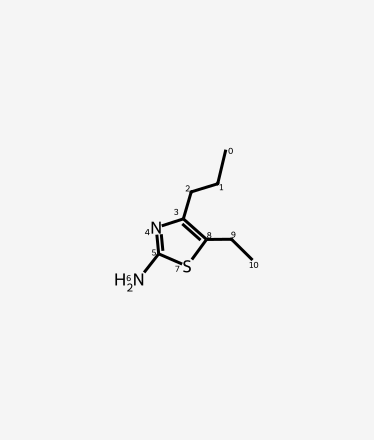 CCCc1nc(N)sc1CC